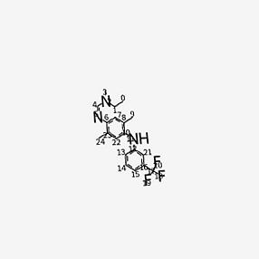 CCN(C)/C=N\c1cc(C)c(Nc2cccc(C(F)(F)F)c2)cc1C